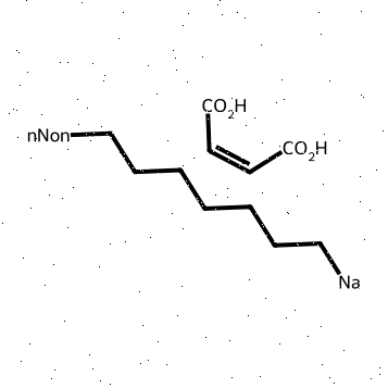 CCCCCCCCCCCCCCC[CH2][Na].O=C(O)/C=C\C(=O)O